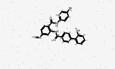 O=Nc1ccc(C(=O)Nc2ccc(Br)cn2)c(NC(=O)c2ccc(-c3ccccc3S)cc2)c1